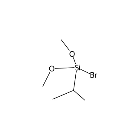 CO[Si](Br)(OC)C(C)C